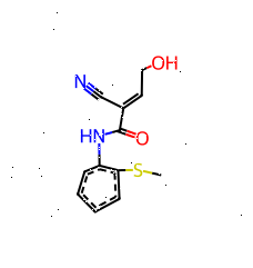 CSc1ccccc1NC(=O)/C(C#N)=C/CO